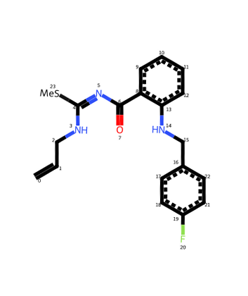 C=CCNC(=NC(=O)c1ccccc1NCc1ccc(F)cc1)SC